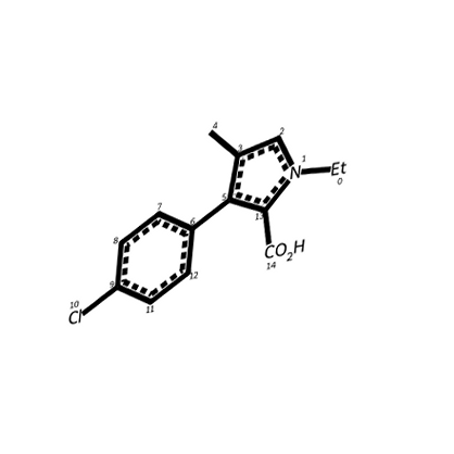 CCn1cc(C)c(-c2ccc(Cl)cc2)c1C(=O)O